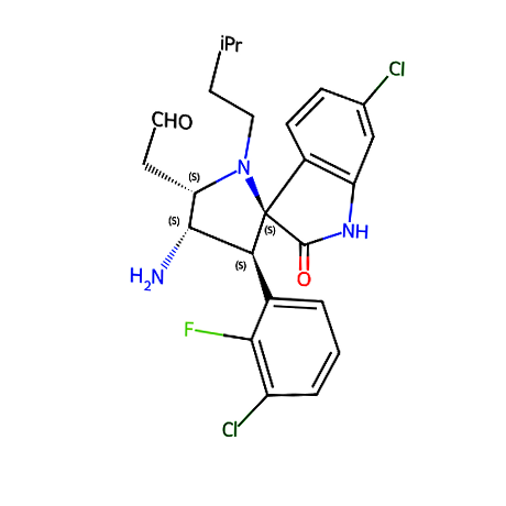 CC(C)CCN1[C@@H](CC=O)[C@@H](N)[C@H](c2cccc(Cl)c2F)[C@]12C(=O)Nc1cc(Cl)ccc12